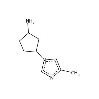 Cc1cn(C2CCC(N)C2)cn1